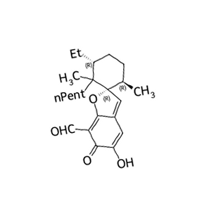 CCCCCC1(C)[C@H](CC)CC[C@@H](C)[C@@]12C=C1C=C(O)C(=O)C(C=O)=C1O2